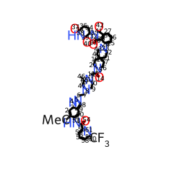 COc1cc2nn(CCN3CCN(CC(=O)N4CCC5(CC4)CCN(c4cccc6c4C(=O)N(C4CCC(=O)NC4=O)C6=O)CC5)[C@H](C)C3)cc2cc1NC(=O)c1cccc(C(F)(F)F)n1